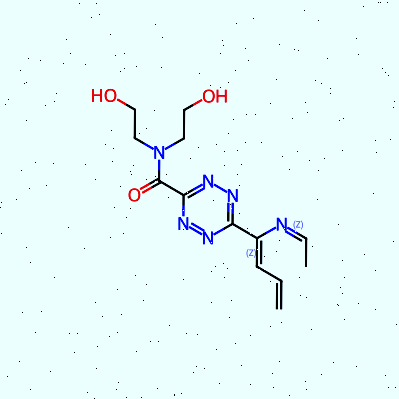 C=C/C=C(\N=C/C)c1nnc(C(=O)N(CCO)CCO)nn1